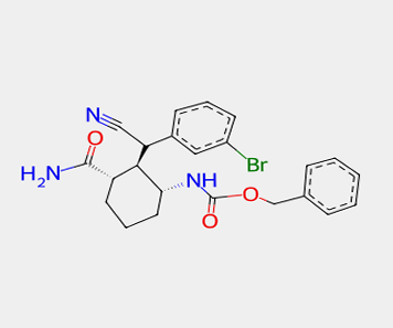 N#CC(c1cccc(Br)c1)[C@@H]1[C@@H](C(N)=O)CCC[C@H]1NC(=O)OCc1ccccc1